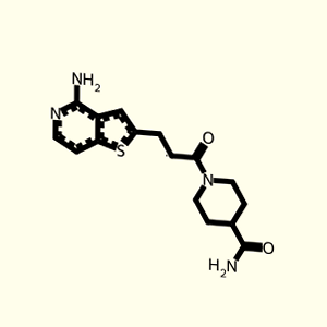 NC(=O)C1CCN(C(=O)[CH]Cc2cc3c(N)nccc3s2)CC1